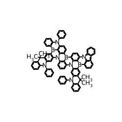 CC1(C)c2ccccc2N(c2ccccc2)c2cc3c(cc21)B1c2ccccc2N(c2ccccc2)c2ccc4c(c21)N3c1cccc2c1B4c1ccc3c4c1N2c1cc2c(cc1B4c1cccc4c5ccccc5n-3c14)C(C)(C)c1ccccc1N2c1ccccc1